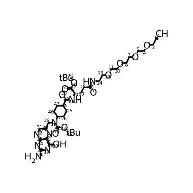 C#CCOCCOCCOCCOCCNC(=O)CC[C@H](NC(=O)C1CCC(N(Cc2cnc3nc(N)nc(O)c3n2)C(=O)OC(C)(C)C)CC1)C(=O)OC(C)(C)C